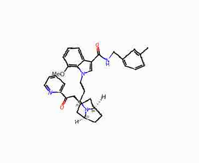 COc1cccc2c(C(=O)NCc3cccc(C)c3)cn(CCCN3[C@@H]4CC[C@H]3C[C@@H](CC(=O)c3ccccn3)C4)c12